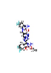 CC(C)(C)OC(=O)N[C@H](c1cn2ncc(CN3C(=O)NC4CC(F)(F)CC43)cc2n1)C1CCC(F)(F)CC1